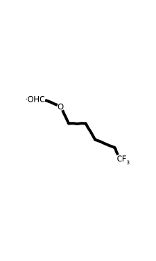 O=[C]OCCCCC(F)(F)F